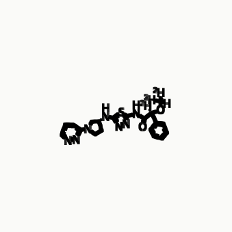 [2H]C([2H])([2H])O[C@]([2H])(C(=O)Nc1nnc(N[C@@H]2CCN(c3cccnn3)C2)s1)c1ccccc1